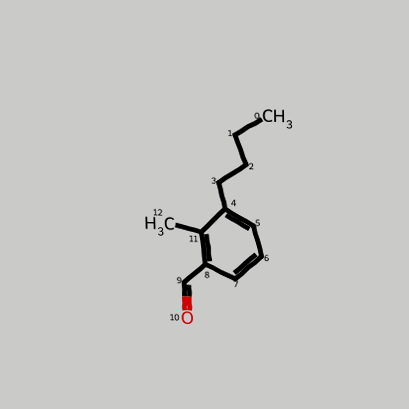 CCCCc1cccc(C=O)c1C